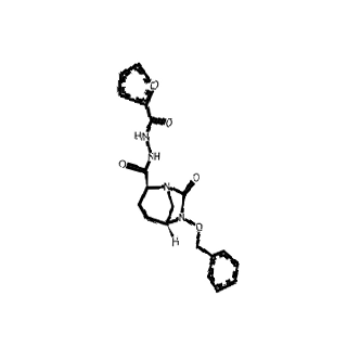 O=C(NNC(=O)[C@@H]1CC[C@@H]2CN1C(=O)N2OCc1ccccc1)c1ccco1